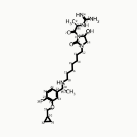 C[C@@H](NC(=N)N)C(=O)N1C(=O)N(CCCCCCCN[C@H](C)c2ccc(F)c(OCC3CC3)c2)CC1O